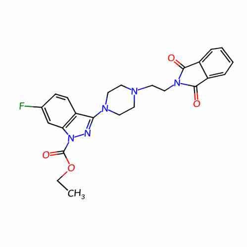 CCOC(=O)n1nc(N2CCN(CCN3C(=O)c4ccccc4C3=O)CC2)c2ccc(F)cc21